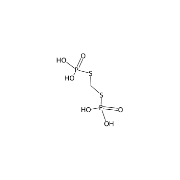 O=P(O)(O)SCSP(=O)(O)O